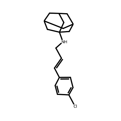 Clc1ccc(C=CCNC23CC4CC(CC(C4)C2)C3)cc1